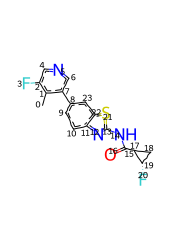 Cc1c(F)cncc1-c1ccc2nc(NC(=O)C3C[C@@H]3F)sc2c1